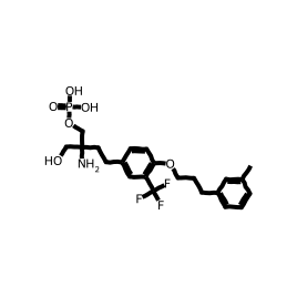 Cc1cccc(CCCOc2ccc(CCC(N)(CO)COP(=O)(O)O)cc2C(F)(F)F)c1